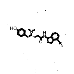 CN(C)[C@H](CCC(=O)NC1CCc2c(C#N)cccc21)Cc1ccc(O)cc1